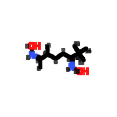 CC(=NO)C(C)CCC(=NO)C(C)(C)C